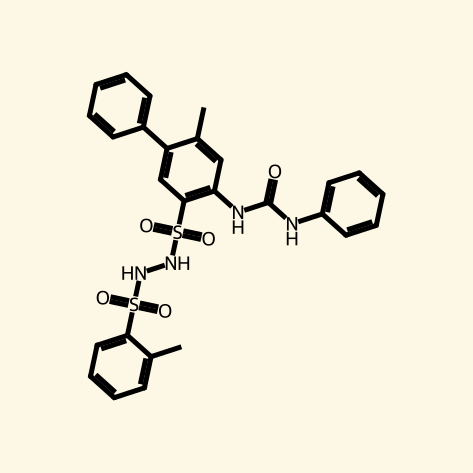 Cc1cc(NC(=O)Nc2ccccc2)c(S(=O)(=O)NNS(=O)(=O)c2ccccc2C)cc1-c1ccccc1